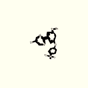 CCc1cnc(-c2cc(Oc3ccc(S(C)(=O)=O)cc3)cc(OC(C)C)c2)nc1